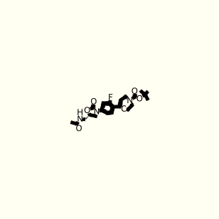 CC(=O)NC[C@H]1CN(c2ccc(C3=CCN(C(=O)OC(C)(C)C)CCC3)c(F)c2)C(=O)O1